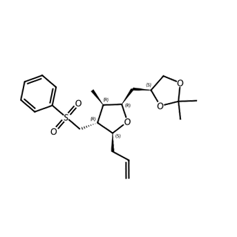 C=CC[C@@H]1O[C@H](C[C@H]2COC(C)(C)O2)[C@H](C)[C@H]1CS(=O)(=O)c1ccccc1